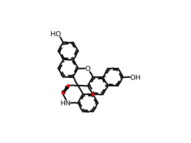 Oc1ccc2c3c(ccc2c1)C1(c2ccccc2Nc2ccccc21)c1ccc2cc(O)ccc2c1O3